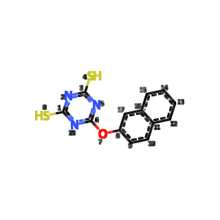 Sc1nc(S)nc(Oc2ccc3ccccc3c2)n1